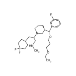 CCOCCCO[C@@H](c1cccc(F)c1)[C@@H]1CCCN(C(CNC)CC2CCC(F)(F)CC2)C1